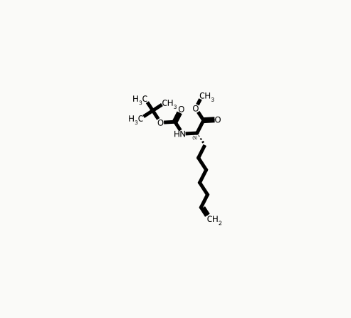 C=CCCCCC[C@H](NC(=O)OC(C)(C)C)C(=O)OC